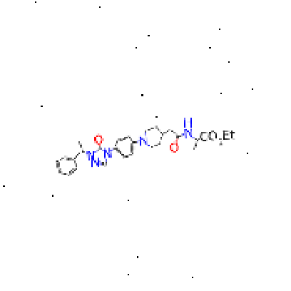 CCOC(=O)C(C)NC(=O)CC1CCN(c2ccc(-n3cnn(C(C)c4ccccc4)c3=O)cc2)CC1